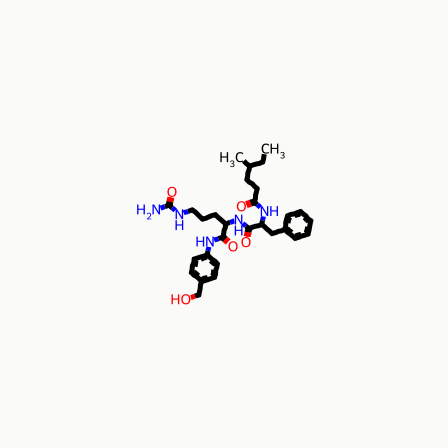 CCC(C)CCC(=O)NC(Cc1ccccc1)C(=O)NC(CCCNC(N)=O)C(=O)Nc1ccc(CO)cc1